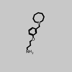 NCCCOc1cccc(CN2CCCCCCC2)c1